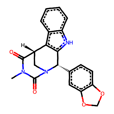 CN1C(=O)[C@H]2CN(C1=O)[C@@H](c1ccc3c(c1)OCO3)c1[nH]c3ccccc3c12